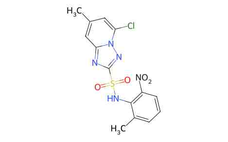 Cc1cc(Cl)n2nc(S(=O)(=O)Nc3c(C)cccc3[N+](=O)[O-])nc2c1